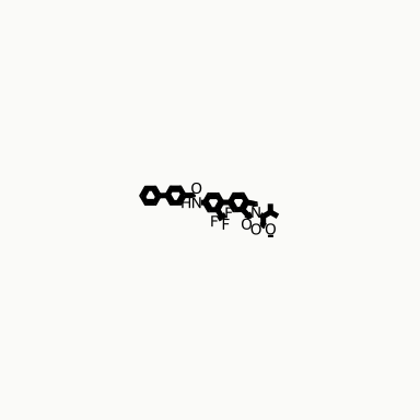 COC(=O)C(C(C)C)N1Cc2ccc(-c3ccc(NC(=O)c4ccc(-c5ccccc5)cc4)cc3C(F)(F)F)cc2C1=O